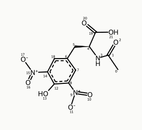 CC(=O)N[C@@H](Cc1cc([N+](=O)[O-])c(O)c([N+](=O)[O-])c1)C(=O)O